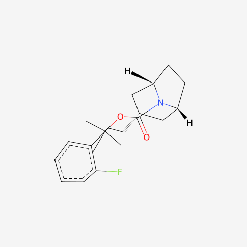 CC(C)(C)OC(=O)N1[C@@H]2CC[C@H]1C[C@@H](CCc1ccccc1F)C2